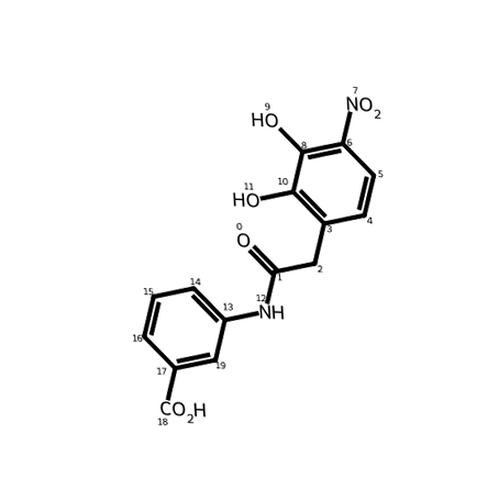 O=C(Cc1ccc([N+](=O)[O-])c(O)c1O)Nc1cccc(C(=O)O)c1